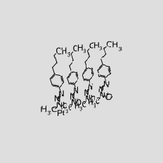 CCCCc1ccc(N=N[N+](C)=O)cc1.CCCCc1ccc(N=N[N+](C)=O)cc1.CCCCc1ccc(N=N[N+](C)=O)cc1.CCCCc1ccc(N=N[N+](C)=O)cc1.[Pt]